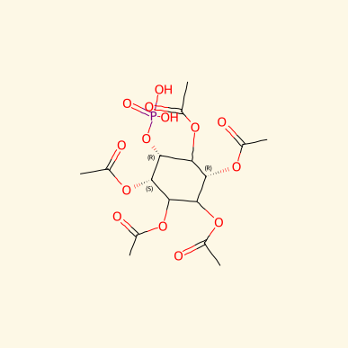 CC(=O)OC1C(OC(C)=O)[C@H](OC(C)=O)[C@H](OP(=O)(O)O)C(OC(C)=O)[C@@H]1OC(C)=O